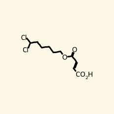 O=C(O)C=CC(=O)OCCCCCC(Cl)Cl